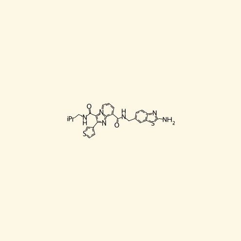 CC(C)CNC(=O)c1c(-c2ccsc2)nc2c(C(=O)NCc3ccc4nc(N)sc4c3)cccn12